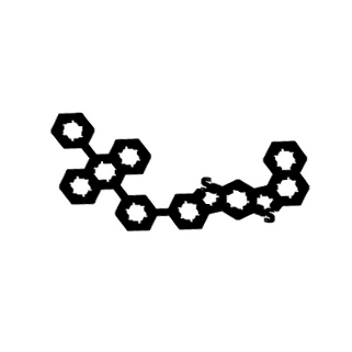 c1ccc(-c2c3ccccc3c(-c3cccc(-c4ccc5c(c4)sc4cc6c(cc45)sc4ccc5ccccc5c46)c3)c3ccccc23)cc1